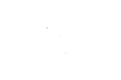 C=CC[C@H]1C[C@H](O)CN1C(=O)OC(C)(C)C